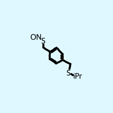 CC(C)SCc1ccc(CSN=O)cc1